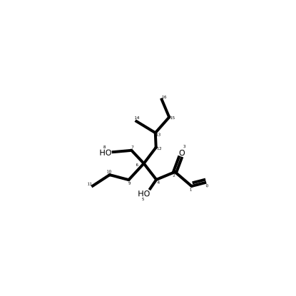 C=CC(=O)C(O)C(CO)(CCC)CC(C)CC